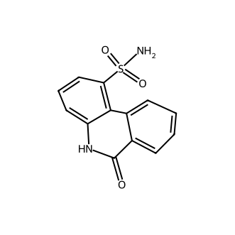 NS(=O)(=O)c1cccc2[nH]c(=O)c3ccccc3c12